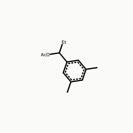 CCC(OC(C)=O)c1cc(C)cc(C)c1